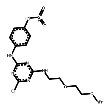 CCCOCCOCCNc1nc(Cl)nc(Nc2ccc(N[SH](=O)=O)cc2)n1